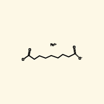 O=C([O-])CCCCCCCC(=O)[O-].[Fe+2]